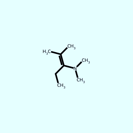 CCC(=C(C)C)N(C)C